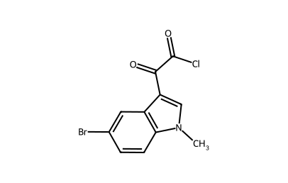 Cn1cc(C(=O)C(=O)Cl)c2cc(Br)ccc21